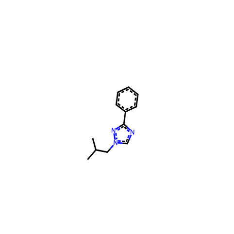 CC(C)Cn1cnc(-c2ccccc2)n1